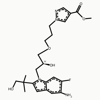 COC(=O)c1cnn(CCCOC[C@@H](O)Cn2c(C(C)(C)CO)cc3cc(N)c(F)cc32)c1